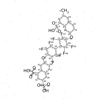 Cc1cc(S(=O)(=O)O)c2cc(Oc3c(F)c(F)c(-c4c(F)c(F)c(Oc5ccc6cc(S(=O)(=O)O)cc(S(=O)(=O)O)c6c5)c(F)c4F)c(F)c3F)ccc2c1